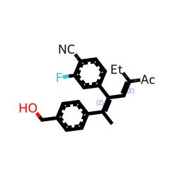 CC/C(=C\C(=C(/C)c1ccc(CO)cc1)c1ccc(C#N)c(F)c1)C(C)=O